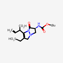 C=CC(C(=O)O)C1=C(CS(=O)(=O)O)CN2C[C@H](NC(=O)OC(C)(C)C)C(=O)N12